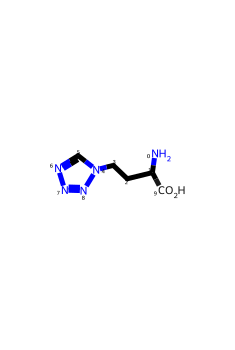 NC(CCn1cnnn1)C(=O)O